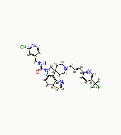 O=C(NCc1ccnc(Cl)c1)N1CC2(CCN(CC=Cc3ccc(C(F)(F)F)cn3)CC2)c2c1ccc1scnc21